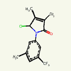 CC1=C(C)C(Cl)N(c2cc(C)cc(C(F)(F)F)c2)C1=O